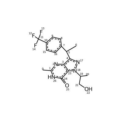 Cc1nc2c(C(C)c3ccc(C(F)(F)F)cc3)nn(C(C)CO)c2c(=O)[nH]1